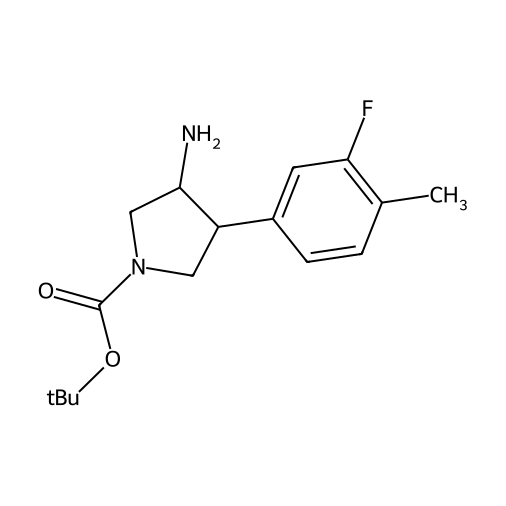 Cc1ccc(C2CN(C(=O)OC(C)(C)C)CC2N)cc1F